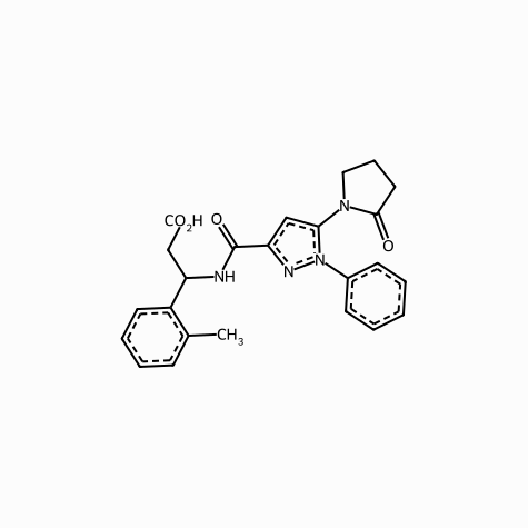 Cc1ccccc1C(CC(=O)O)NC(=O)c1cc(N2CCCC2=O)n(-c2ccccc2)n1